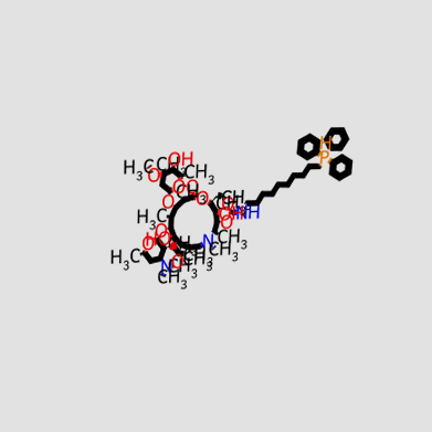 CC[C@H]1OC(=O)[C@H](C)[C@@H](O[C@H]2C[C@@](C)(OC)[C@@H](O)[C@H](C)O2)[C@H](C)[C@@H](O[C@@H]2O[C@H](C)C[C@H](N(C)C)[C@H]2CC(C)=O)[C@](C)(O)C[C@@H](C)CN(C)[C@H](C)[C@@H](OC(=O)NCCCCCCCCCC[PH](c2ccccc2)(c2ccccc2)c2ccccc2)[C@]1(C)O